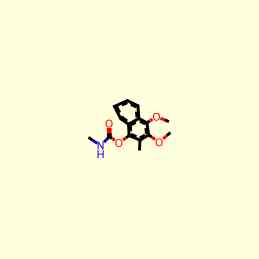 CNC(=O)Oc1c(C)c(OC)c(OC)c2ccccc12